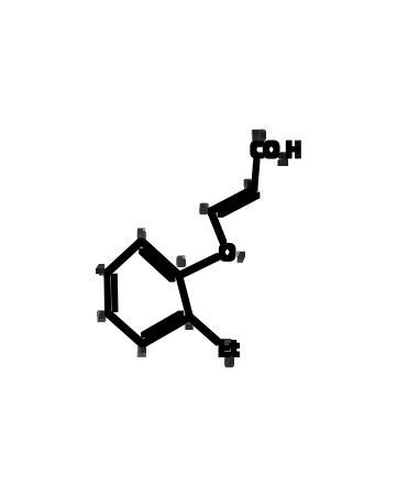 CCc1ccccc1OC=CC(=O)O